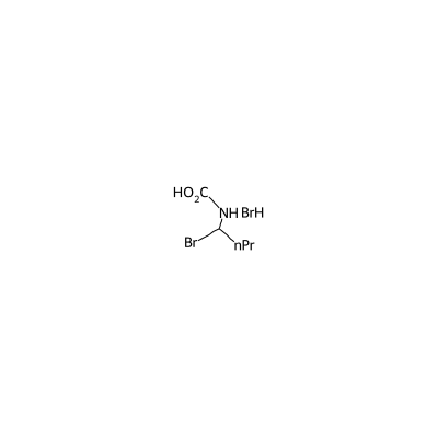 Br.CCCC(Br)NC(=O)O